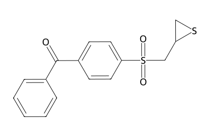 O=C(c1ccccc1)c1ccc(S(=O)(=O)CC2CS2)cc1